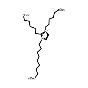 CCCCCCCCCCCCCCCCCCn1cc[n+](CCCCCCCCCCCCCCC)c1CCCCCCCCCCCCCCC